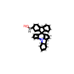 OBc1ccc2c(c1)C1(c3ccccc3-2)c2ccccc2-n2c3ccccc3c3cccc1c32